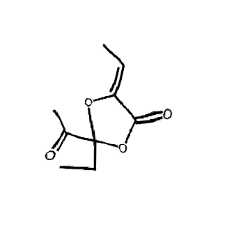 C/C=C1\OC(CC)(C(C)=O)OC1=O